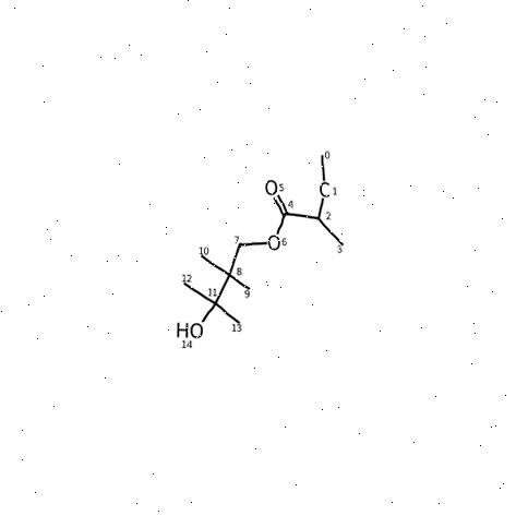 CCC(C)C(=O)OCC(C)(C)C(C)(C)O